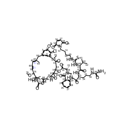 COc1cc2cc(c1Cl)N(C)C(=O)C[C@H](OC(=O)[C@H](C)N(C)C(=O)c1ccccc1NC(=O)[C@H](CCCNC(N)=O)NC(=O)[C@@H](NC(=S)NCCCCN1C(=O)C=CC1=O)C(C)C)[C@]1(C)O[C@H]1C[C@@H]1C[C@@](O)(NC(=O)O1)[C@H](OC)/C=C/C=C(\C)C2